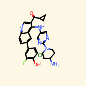 NC1CCN(c2ncc(Nc3c(C(=O)C4CC4)cnc4ccc(-c5cc(F)c(O)c(Cl)c5)cc34)cn2)CC1